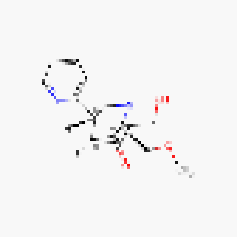 COC[C@@]1(CO)C(=O)[C@H]2CCN1C[C@H]2c1ccccn1